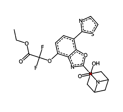 CCOC(=O)C(F)(F)Oc1ccc(-c2nccs2)c2oc(N3CC4CC(C3)N4C(=O)O)nc12